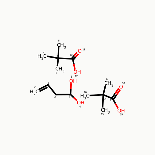 C=CCC(O)O.CC(C)(C)C(=O)O.CC(C)(C)C(=O)O